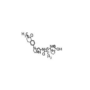 C=C(SC(=N)N1CCC[C@H]1C(=O)O)C(=O)Nc1cc2n(n1)CCN2c1ccc2c(c1)CCN(C)C2=O